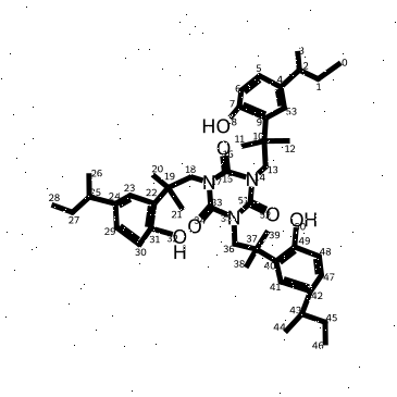 CCC(C)c1ccc(O)c(C(C)(C)Cn2c(=O)n(CC(C)(C)c3cc(C(C)CC)ccc3O)c(=O)n(CC(C)(C)c3cc(C(C)CC)ccc3O)c2=O)c1